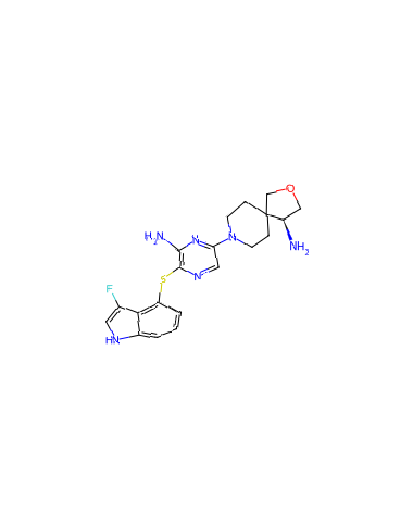 Nc1nc(N2CCC3(CC2)COC[C@H]3N)cnc1Sc1cccc2[nH]cc(F)c12